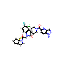 O=C(c1ccc2[nH]ncc2n1)N1CCC2(CC1)C(=O)N(CC(=O)N1CCC3CCCC31S)c1ccc(F)c(Cl)c12